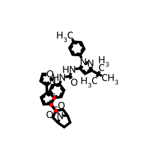 Cc1ccc(-n2nc(C(C)(C)C)cc2NC(=O)Nc2ccc(CC3CC4CCC(C3)N4S(=O)(=O)c3ccc(-c4ccon4)s3)cc2)cc1